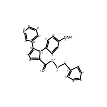 COc1ccc(-n2c(C(=O)OOCc3ccccc3)ccc2-c2cccnc2)cc1